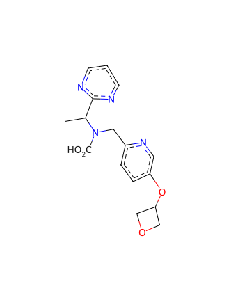 CC(c1ncccn1)N(Cc1ccc(OC2COC2)cn1)C(=O)O